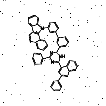 c1ccc(C2=NC(c3cccc(-c4cccc(-n5c6ccccc6c6ccc7ccccc7c65)c4)c3)NC(c3cc(-c4ccccc4)cc4ccccc34)=N2)cc1